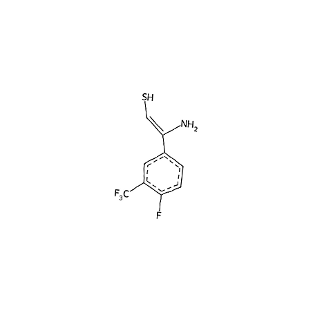 N/C(=C\S)c1ccc(F)c(C(F)(F)F)c1